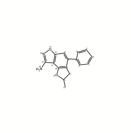 CC1Cc2c(-c3ccccc3)cc3onc(N)c3c2O1